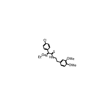 CCON=C(C(=S)NCCc1ccc(OC)c(OC)c1)c1ccc(Cl)cc1